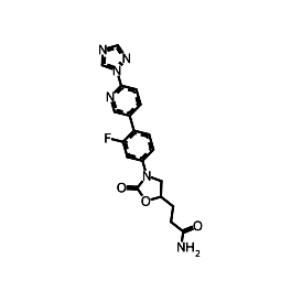 NC(=O)CCC1CN(c2ccc(-c3ccc(-n4cncn4)nc3)c(F)c2)C(=O)O1